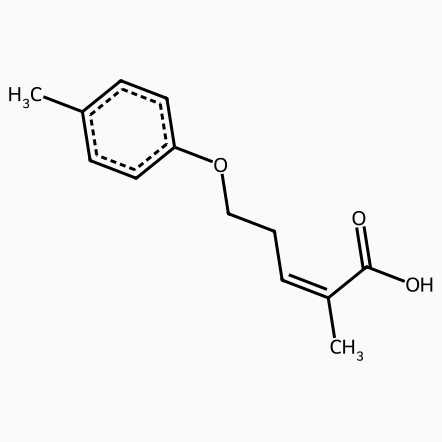 CC(=CCCOc1ccc(C)cc1)C(=O)O